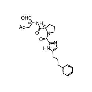 CC(=O)C[C@@H](C=O)NC(=O)[C@@H]1CCCN1C(=O)c1ncc(CCCc2ccccc2)[nH]1